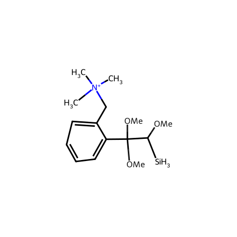 COC([SiH3])C(OC)(OC)c1ccccc1C[N+](C)(C)C